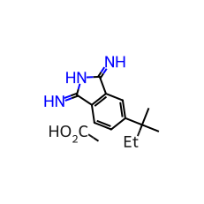 CC(=O)O.CCC(C)(C)c1ccc2c(c1)C(=N)NC2=N